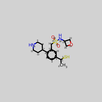 CC(S)c1ccc(C2CCNCC2)c(CS(=O)(=O)NC2COC2)c1